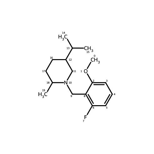 COc1cccc(F)c1CN1CC(C(C)C)CCC1C